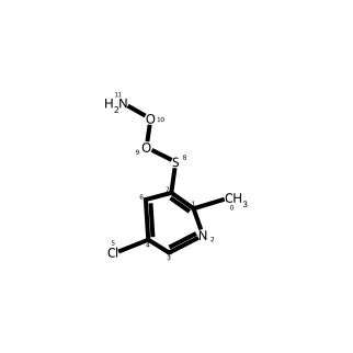 Cc1ncc(Cl)cc1SOON